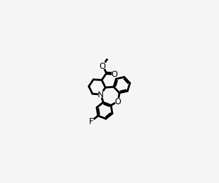 COC(=O)C1CCCN2c3cc(F)ccc3Oc3ccccc3C12